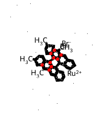 Cc1ccc(P(c2ccc(C)cc2)c2ccc3ccccc3c2-c2c(P(c3ccc(C)cc3)c3ccc(C)cc3)ccc3ccccc23)cc1.[Br-].[Br-].[Ru+2]